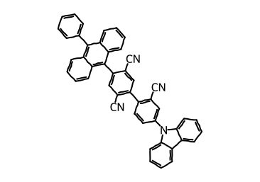 N#Cc1cc(-n2c3ccccc3c3ccccc32)ccc1-c1cc(C#N)c(-c2c3ccccc3c(-c3ccccc3)c3ccccc23)cc1C#N